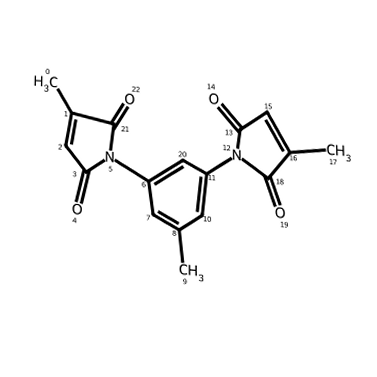 CC1=CC(=O)N(c2cc(C)cc(N3C(=O)C=C(C)C3=O)c2)C1=O